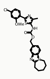 COc1cc(Cl)ccc1-c1nc(C)c(NC(=O)OCc2ccc3c(c2)nc2n3CCCCC2)s1